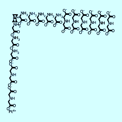 NCC(=O)[O-].NCC(=O)[O-].NCC(=O)[O-].NCC(=O)[O-].NCC(=O)[O-].NCC(=O)[O-].NCC(=O)[O-].NCC(=O)[O-].O=C([O-])CNCC(=O)[O-].O=C([O-])CNCC(=O)[O-].O=C([O-])CNCC(=O)[O-].O=C([O-])CNCC(=O)[O-].O=C([O-])CNCC(=O)[O-].O=C([O-])CNCC(=O)[O-].O=C([O-])CNCC(=O)[O-].O=C([O-])CNCC(=O)[O-].[CH2]1[CH2][Pt+4]123([CH2][CH2]2)[CH2][CH2]3.[Pt+4]